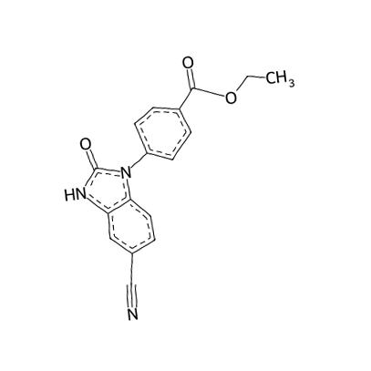 CCOC(=O)c1ccc(-n2c(=O)[nH]c3cc(C#N)ccc32)cc1